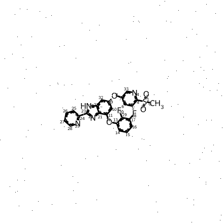 CS(=O)(=O)c1ccc(Oc2cc(Oc3cccc(F)c3F)c3nc(-c4ccccn4)[nH]c3c2)cn1